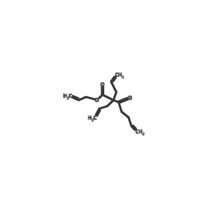 C=CCCC(=O)C(CC=C)(CC=C)C(=O)OCC=C